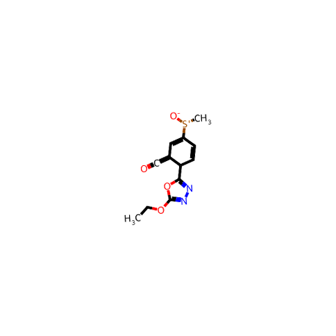 CCOc1nnc(C2C=CC([S+](C)[O-])=CC2=C=O)o1